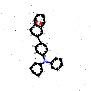 c1ccc(N(c2ccccc2)c2ccc(-c3ccc4c5ccc(o5)c4c3)cc2)cc1